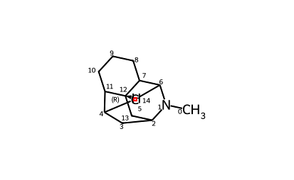 CN1C2CC3CC1C1CCCC3[C@H]1C2